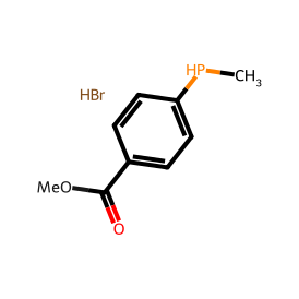 Br.COC(=O)c1ccc(PC)cc1